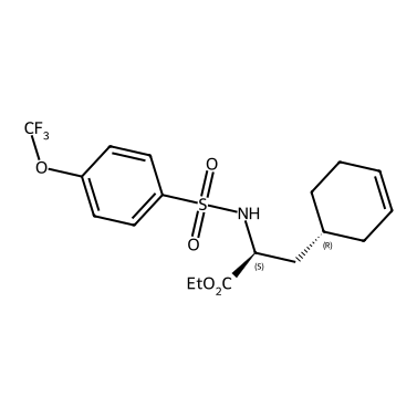 CCOC(=O)[C@H](C[C@H]1CC=CCC1)NS(=O)(=O)c1ccc(OC(F)(F)F)cc1